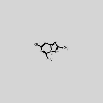 Cc1nc2cc(Cl)nc(C)n2n1